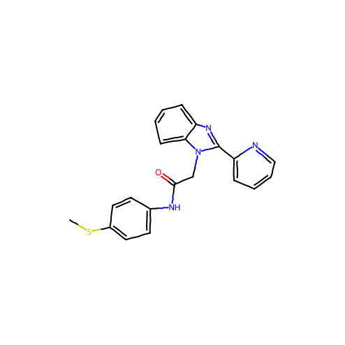 CSc1ccc(NC(=O)Cn2c(-c3ccccn3)nc3ccccc32)cc1